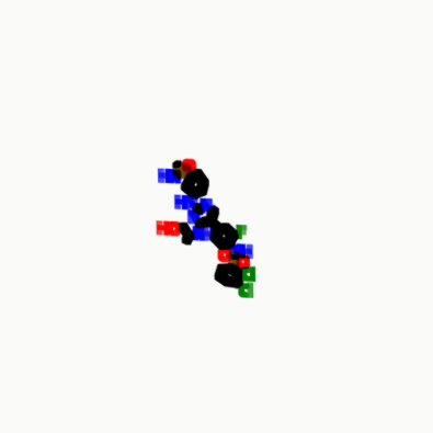 CC(CO)Nc1nc(Nc2cccc(S(C)(=N)=O)c2)ncc1-c1ccc(NS(=O)(=O)c2cccc(Cl)c2Cl)c(F)c1